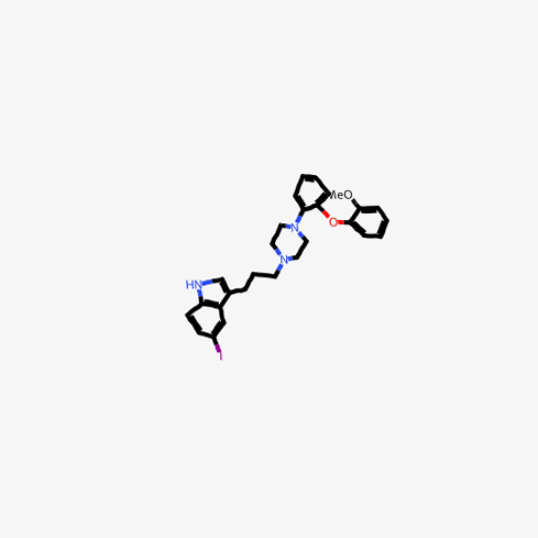 COc1ccccc1Oc1ccccc1N1CCN(CCCc2c[nH]c3ccc(I)cc23)CC1